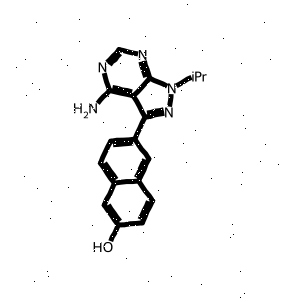 CC(C)n1nc(-c2ccc3cc(O)ccc3c2)c2c(N)ncnc21